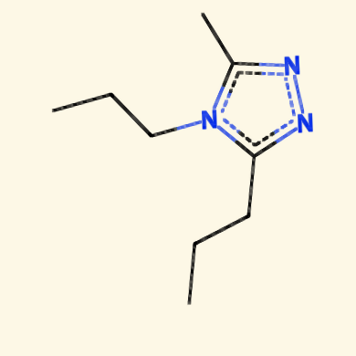 CCCc1nnc(C)n1CCC